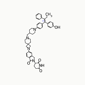 CC/C(=C(\c1ccc(O)cc1)c1ccc(N2CCC(CN3CCC4(CC3)CN(c3ccc5c(c3)CN(C3CCC(=O)NC3=O)C5=O)C4)CC2)cc1)c1ccccc1